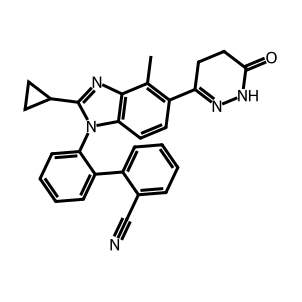 Cc1c(C2=NNC(=O)CC2)ccc2c1nc(C1CC1)n2-c1ccccc1-c1ccccc1C#N